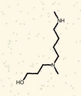 CNCCCCN(C)CCCO